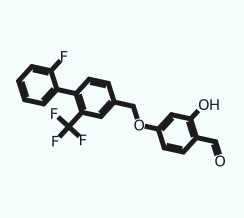 O=Cc1ccc(OCc2ccc(-c3ccccc3F)c(C(F)(F)F)c2)cc1O